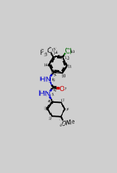 COC1CCC(NC(=O)Nc2ccc(Cl)c(C(F)(F)F)c2)CC1